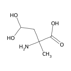 CC(N)(CC(O)O)C(=O)O